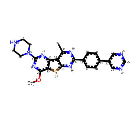 CCOc1nc(N2CCNCC2)nc2c1sc1nc(-c3ccc(-c4cncnc4)cc3)nc(C)c12